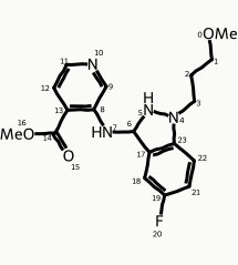 COCCCN1NC(Nc2cnccc2C(=O)OC)c2cc(F)ccc21